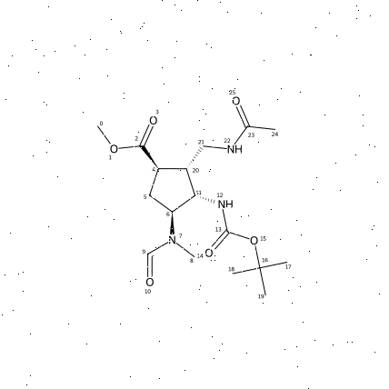 COC(=O)[C@@H]1C[C@H](N(C)C=O)[C@@H](NC(=O)OC(C)(C)C)[C@H]1CNC(C)=O